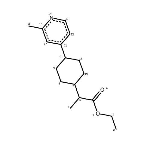 CCOC(=O)C(C)C1CCC(c2ccnc(C)c2)CC1